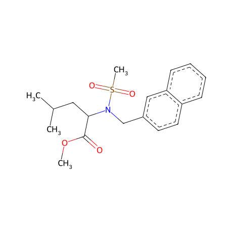 COC(=O)C(CC(C)C)N(Cc1ccc2ccccc2c1)S(C)(=O)=O